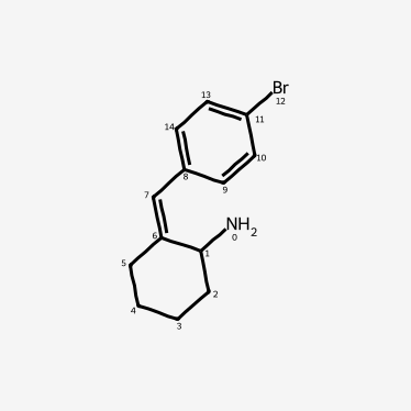 NC1CCCCC1=Cc1ccc(Br)cc1